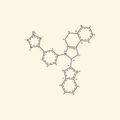 c1cc(-c2nn[nH]n2)cc(N2C3=C(CC2c2cc4ccccc4o2)c2ccccc2CC3)c1